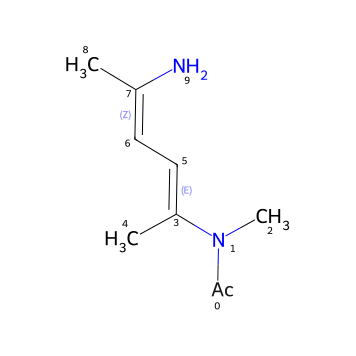 CC(=O)N(C)/C(C)=C/C=C(/C)N